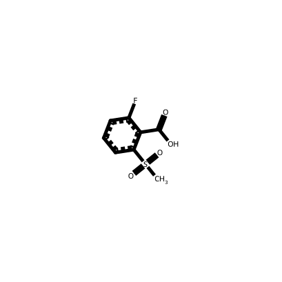 CS(=O)(=O)c1cccc(F)c1C(=O)O